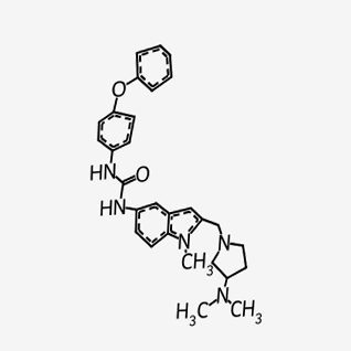 CN(C)C1CCN(Cc2cc3cc(NC(=O)Nc4ccc(Oc5ccccc5)cc4)ccc3n2C)C1